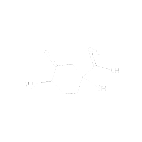 C=C(C)C1(S)CCC(C)C(=O)C1